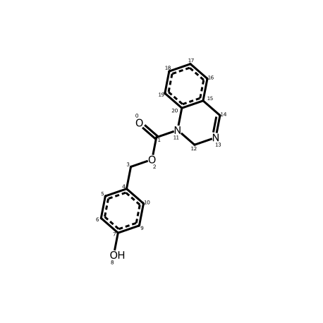 O=C(OCc1ccc(O)cc1)N1CN=Cc2ccccc21